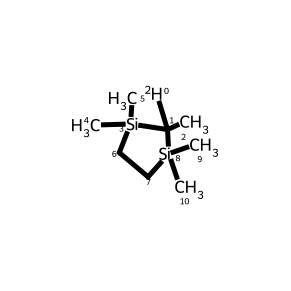 [2H]C1(C)[Si](C)(C)CC[Si]1(C)C